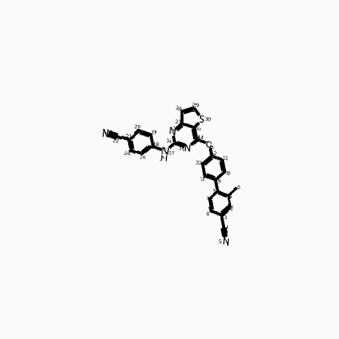 Cc1cc(C#N)ccc1-c1ccc(Oc2nc(Nc3ccc(C#N)cc3)nc3ccsc23)cc1